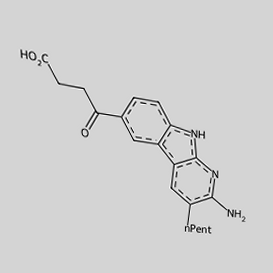 CCCCCc1cc2c(nc1N)[nH]c1ccc(C(=O)CCC(=O)O)cc12